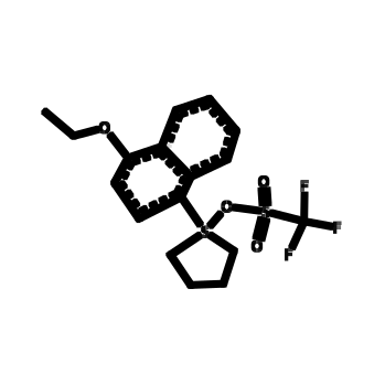 CCOc1ccc(S2(OS(=O)(=O)C(F)(F)F)CCCC2)c2ccccc12